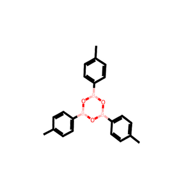 Cc1ccc(B2OB(c3ccc(C)cc3)OB(c3ccc(C)cc3)O2)cc1